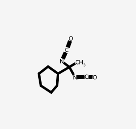 CC(N=C=O)(N=C=O)C1CCCCC1